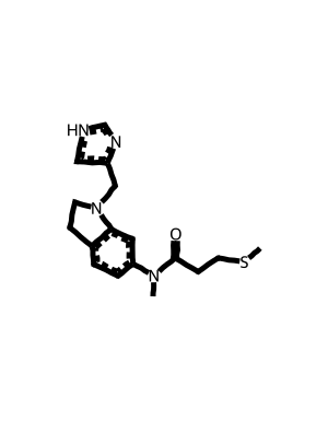 CSCCC(=O)N(C)c1ccc2c(c1)N(Cc1c[nH]cn1)CC2